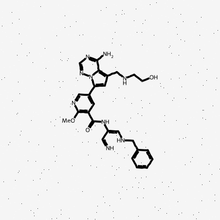 COc1ncc(-c2cc(CNCCO)c3c(N)ncnn23)cc1C(=O)N/C(C=N)=C/NCc1ccccc1